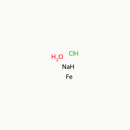 Cl.O.[Fe].[NaH]